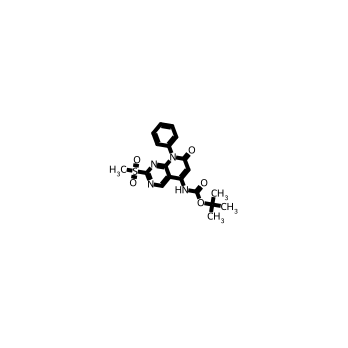 CC(C)(C)OC(=O)Nc1cc(=O)n(-c2ccccc2)c2nc(S(C)(=O)=O)ncc12